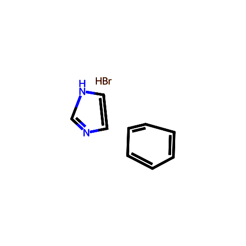 Br.c1c[nH]cn1.c1ccccc1